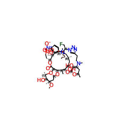 CC[C@H]1OC(=O)[C@H](C)[C@@H](O[C@H]2C[C@@](C)(OC)[C@@H](O)[C@H](C)O2)[C@H](C)[C@@H](O[C@@H]2O[C@H](C)C[C@H](N(C)CCc3cn([C@H](CF)[C@H](SC)c4ccc([N+](=O)[O-])cc4)nn3)[C@H]2O)[C@](C)(O)C[C@@H](C)CN(C)[C@H](C)[C@@H](O)[C@]1(C)O